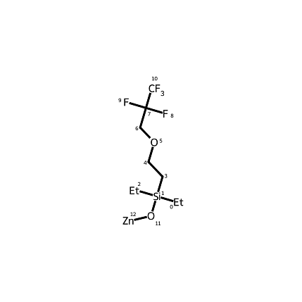 CC[Si](CC)(CCOCC(F)(F)C(F)(F)F)[O][Zn]